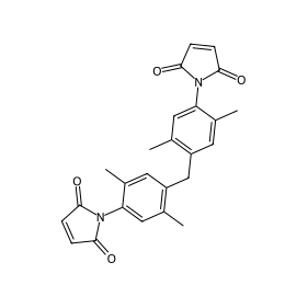 Cc1cc(N2C(=O)C=CC2=O)c(C)cc1Cc1cc(C)c(N2C(=O)C=CC2=O)cc1C